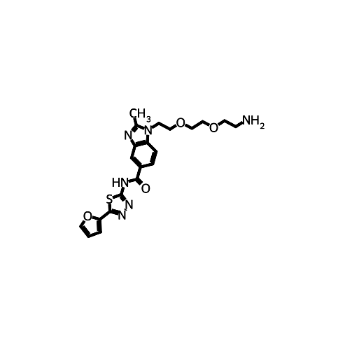 Cc1nc2cc(C(=O)Nc3nnc(-c4ccco4)s3)ccc2n1CCOCCOCCN